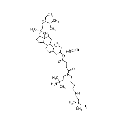 CC[C@H](CC[C@@H](C)C1CCC2C3CC=C4CC(OC(=O)CCC(=O)N(CCCCNCCC(C)(C)N)CCC(C)(C)N)CCC4(C)C3CCC21C)C(C)C.Cl.Cl.Cl